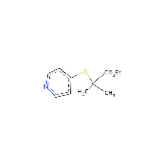 CCOC(=O)C(C)(C)Sc1ccncc1